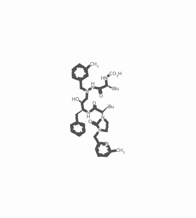 CC[C@H](C)[C@@H](C(=O)N[C@@H](Cc1ccccc1)[C@@H](O)CN(Cc1cccc(C)c1)NC(=O)[C@@H](NC(=O)O)C(C)(C)C)N1CCN(Cc2cccc(C)n2)C1=O